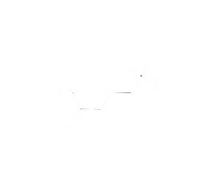 CC(N)CCCC(F)(F)F